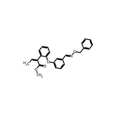 CC=C(C(=O)OC)c1ccccc1Oc1cccc(C=NOCc2ccccc2)c1